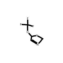 FC(F)(F)OC1C=NC[N]1